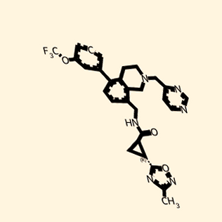 Cc1noc([C@@H]2CC2C(=O)NCc2ccc(-c3cccc(OC(F)(F)F)c3)c3c2CN(Cc2ccncn2)CC3)n1